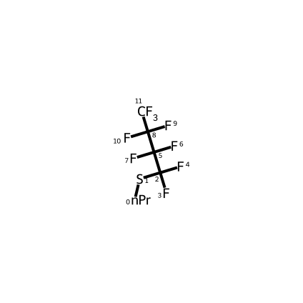 [CH2]CCSC(F)(F)C(F)(F)C(F)(F)C(F)(F)F